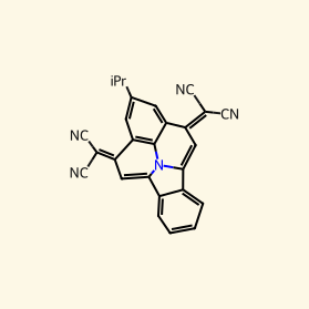 CC(C)c1cc2c(=C(C#N)C#N)cc3c4ccccc4c4cc(=C(C#N)C#N)c(c1)c2n34